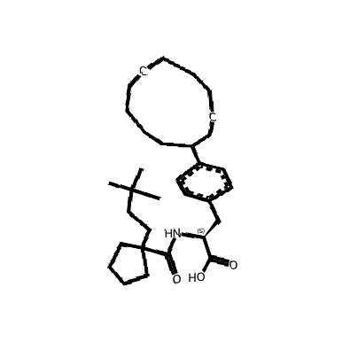 CC(C)(C)CCC1(C(=O)N[C@@H](Cc2ccc(C3CCCCCCCCCC3)cc2)C(=O)O)CCCC1